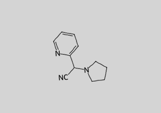 N#CC(c1ccccn1)N1CCCC1